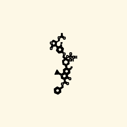 CC(=O)OC[C@H]1COC(=O)N1c1ccc(OCC2(OP(=O)(O)O)CCN(c3cc4c(cc3F)c(=O)c(C(=O)OCc3ccccc3)cn4C3CC3)CC2)cc1F